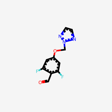 O=Cc1c(F)cc(OCn2nccn2)cc1F